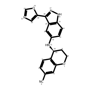 N#Cc1ccc2c(c1)OCC[C@@H]2Nc1ccc2[nH]nc(-c3cnco3)c2c1